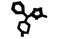 Cc1nnn(C(c2ccccc2)C2CCNCC2)n1